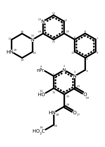 CCCc1nn(Cc2cccc(-c3ccnc(N4CCNCC4)c3)c2)c(=O)c(C(=O)NCC(=O)O)c1O